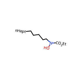 CCCCCCCCCCCCN(O)C(=O)OCC